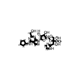 COCC(Cc1nnn[nH]1)(OC[C@@H]1O[C@H](n2ncc3c(NC4CCCC4)nc(CO)nc32)[C@@H](O)[C@H]1O)P(=O)(O)O